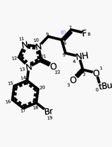 CC(C)(C)OC(=O)NC/C(=C\F)Cn1ncn(-c2cccc(Br)c2)c1=O